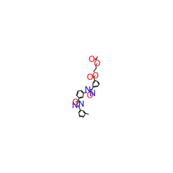 CC(=O)OCCCOC(=O)c1cccc(-c2noc(-c3cccc(-c4nc(-c5cccc(C)c5)no4)c3)n2)c1